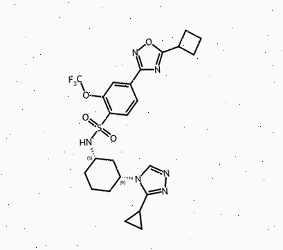 O=S(=O)(N[C@H]1CCC[C@@H](n2cnnc2C2CC2)C1)c1ccc(-c2noc(C3CCC3)n2)cc1OC(F)(F)F